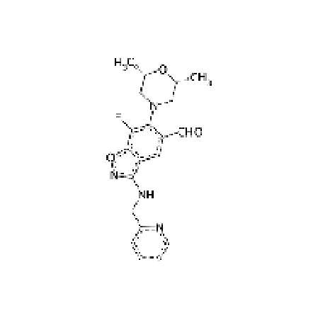 C[C@@H]1CN(c2c(C=O)cc3c(NCc4ccccn4)noc3c2F)C[C@H](C)O1